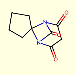 O=C1CC(=O)N2C(=O)N1C21CCCC1